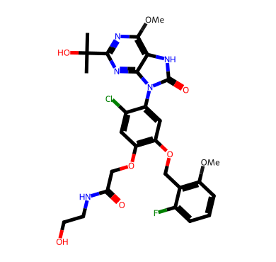 COc1cccc(F)c1COc1cc(-n2c(=O)[nH]c3c(OC)nc(C(C)(C)O)nc32)c(Cl)cc1OCC(=O)NCCO